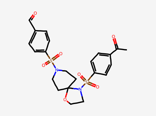 CC(=O)c1ccc(S(=O)(=O)N2CCOC23CCN(S(=O)(=O)c2ccc(C=O)cc2)CC3)cc1